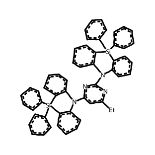 CCc1cc(N2c3ccccc3[Si](c3ccccc3)(c3ccccc3)c3ccccc32)nc(N2c3ccccc3[Si](c3ccccc3)(c3ccccc3)c3ccccc32)n1